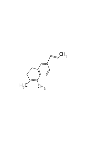 C/C=C/c1ccc2c(c1)CCC(C)=C2C